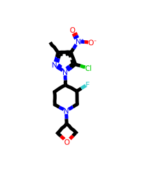 Cc1nn(C2CCN(C3COC3)CC2F)c(Cl)c1[N+](=O)[O-]